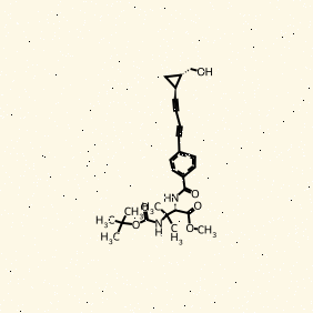 COC(=O)[C@@H](NC(=O)c1ccc(C#CC#C[C@H]2C[C@@H]2CO)cc1)C(C)(C)NC(=O)OC(C)(C)C